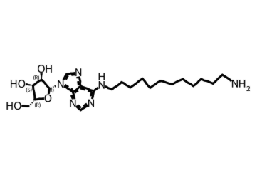 NCCCCCCCCCCCCNc1ncnc2c1ncn2[C@@H]1O[C@H](CO)[C@@H](O)[C@H]1O